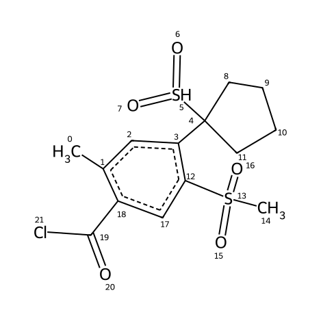 Cc1cc(C2([SH](=O)=O)CCCC2)c(S(C)(=O)=O)cc1C(=O)Cl